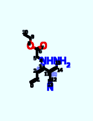 C=C/C=C(NCC(=O)OCC)\C(C#N)=C/N